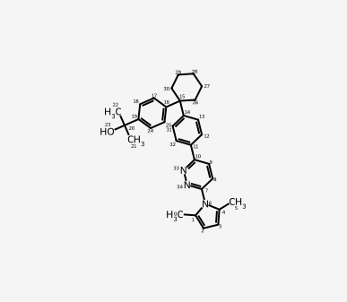 Cc1ccc(C)n1-c1ccc(-c2ccc(C3(c4ccc(C(C)(C)O)cc4)CCCCC3)cc2)nn1